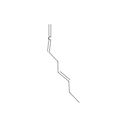 C=C=CCC=CCC